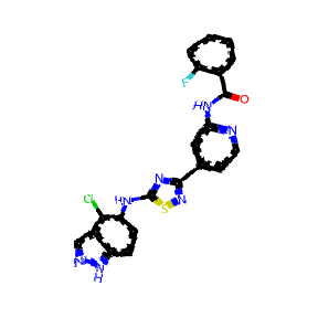 O=C(Nc1cc(-c2nsc(Nc3ccc4[nH]ncc4c3Cl)n2)ccn1)c1ccccc1F